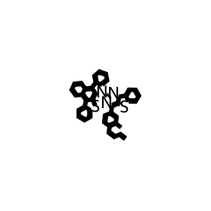 C=C/C=C\c1ccc(-c2nc(-n3c4ccccc4c4c5ccccc5c5c6ccccc6sc5c43)nc3c2sc2ccccc23)cc1C